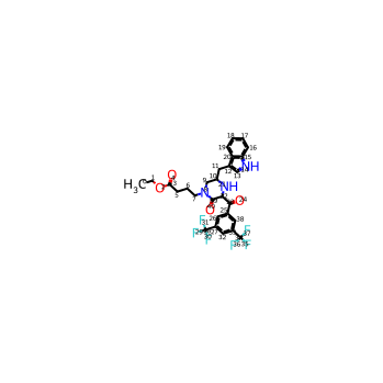 CCOC(=O)CCCN1CC(Cc2c[nH]c3ccccc23)NC(C(=O)c2cc(C(F)(F)F)cc(C(F)(F)F)c2)C1=O